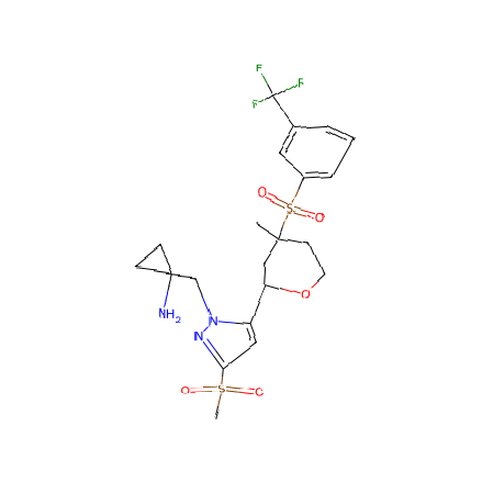 CC1(S(=O)(=O)c2cccc(C(F)(F)F)c2)CCOC(c2cc(S(C)(=O)=O)nn2CC2(N)CC2)C1